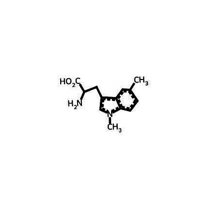 Cc1ccc2c(c1)c(CC(N)C(=O)O)cn2C